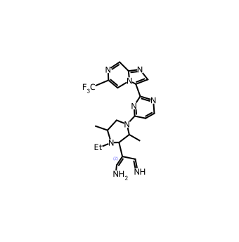 CCN1C(C)CN(c2ccnc(-c3cnc4cnc(C(F)(F)F)cn34)n2)C(C)C1/C(C=N)=C/N